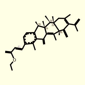 C=C(/C=C/c1ccc2c(c1C)C(=C)C1=C(C)[C@@]3(C)C(=C)C(C(=C)C)=C(C)C[C@@]3(C)[C@H](C)[C@@]1(C)[C@@H]2C)OCC